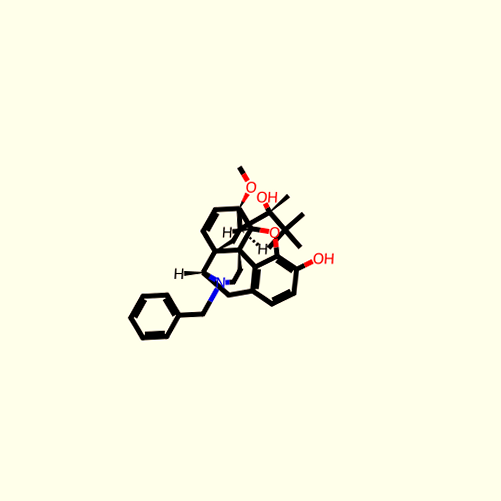 CO[C@]12C=C[C@@]3(C[C@@H]1[C@](C)(O)C(C)(C)C)[C@H]1Cc4ccc(O)c5c4[C@@]3(CCN1Cc1ccccc1)[C@H]2O5